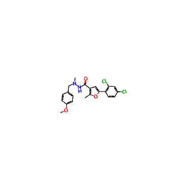 COc1ccc(CN(C)NC(=O)c2cc(-c3ccc(Cl)cc3Cl)oc2C)cc1